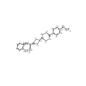 O=C(Nc1ccccc1C(F)(F)F)N1CC(N2CCN(c3ccc(OC(F)(F)F)cc3)CC2)C1